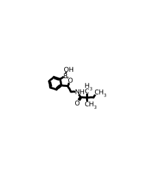 CCC(C)(C)C(=O)NCC1OB(O)c2ccccc21